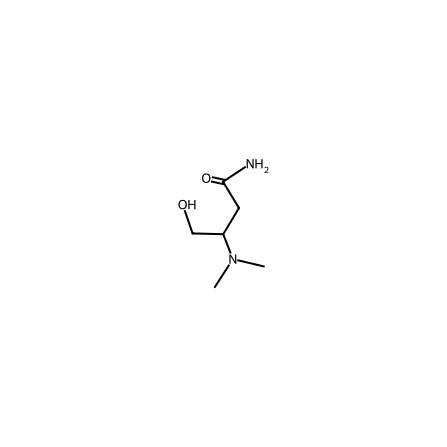 CN(C)C(CO)CC(N)=O